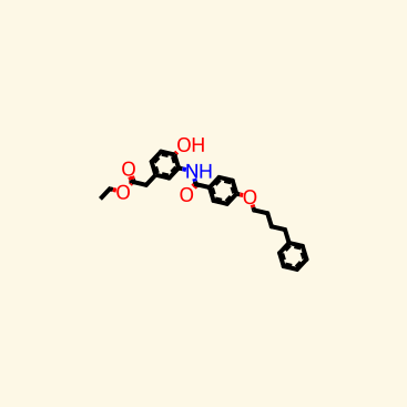 CCOC(=O)Cc1ccc(O)c(NC(=O)c2ccc(OCCCCc3ccccc3)cc2)c1